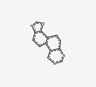 c1ncc2c(ccc3c2ccc2ncsc23)n1